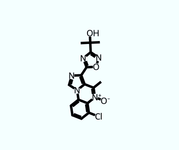 Cc1c2c(-c3nc(C(C)(C)O)no3)ncn2c2cccc(Cl)c2[n+]1[O-]